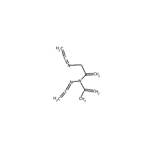 C=C=NCC(=C)N(N=C=C)C(=C)C